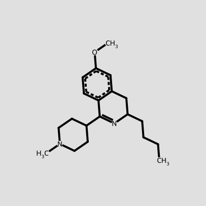 CCCCC1Cc2cc(OC)ccc2C(C2CCN(C)CC2)=N1